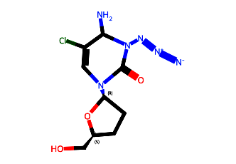 [N-]=[N+]=NN1C(=O)N([C@H]2CC[C@@H](CO)O2)C=C(Cl)C1N